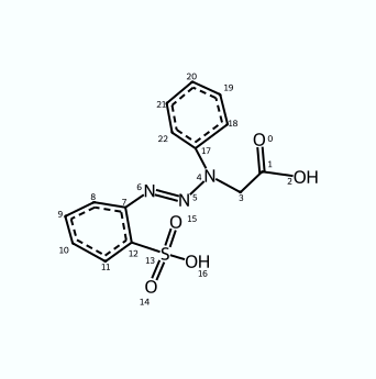 O=C(O)CN(N=Nc1ccccc1S(=O)(=O)O)c1ccccc1